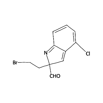 O=CC1(CCBr)C=c2c(Cl)cccc2=N1